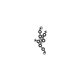 CC(C)(C)c1ccc2c(c1)-c1c(-c3ccc(C=O)cc3)ccc3c1B2c1cccc2c1N3c1cc(C(C)(C)C)cc3c1B2c1cc(-c2ccc(C=O)cc2)ccc1-3